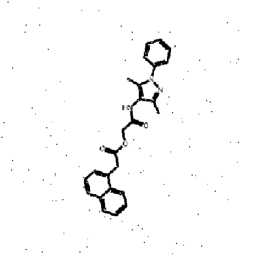 Cc1nn(-c2ccccc2)c(C)c1NC(=O)COC(=O)Cc1cccc2ccccc12